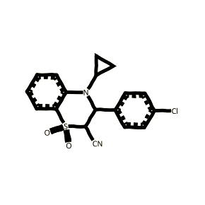 N#CC1C(c2ccc(Cl)cc2)N(C2CC2)c2ccccc2S1(=O)=O